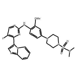 COc1cc(N2CCN(S(=O)(=O)N(C)C)CC2)ccc1Nc1ncc(F)c(-c2cnc3ccccn23)n1